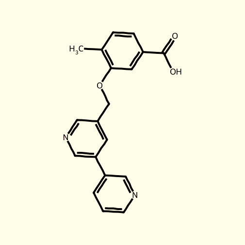 Cc1ccc(C(=O)O)cc1OCc1cncc(-c2cccnc2)c1